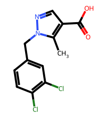 Cc1c(C(=O)O)cnn1Cc1ccc(Cl)c(Cl)c1